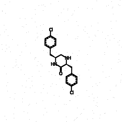 O=C1N[C@@H](Cc2ccc(Cl)cc2)CN[C@H]1Cc1ccc(Cl)cc1